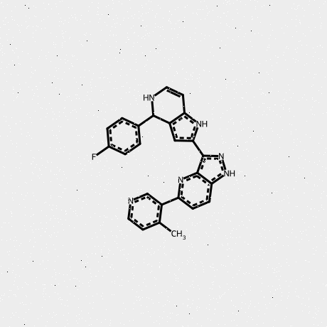 Cc1ccncc1-c1ccc2[nH]nc(-c3cc4c([nH]3)C=CNC4c3ccc(F)cc3)c2n1